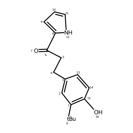 CC(C)(C)c1cc(CCC(=O)c2ccc[nH]2)ccc1O